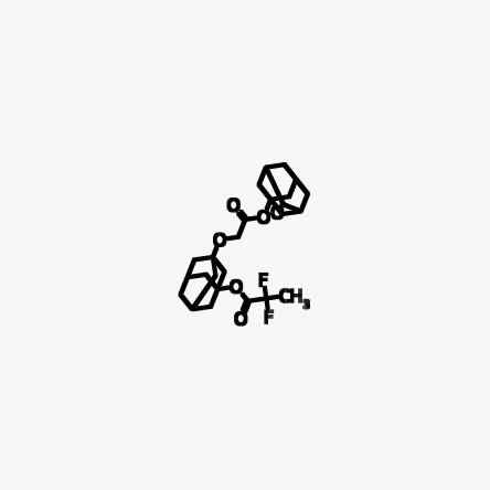 CC(F)(F)C(=O)OC12CC3CC(CC(OCC(=O)OC45CC6CC(C4)C(=O)C(C6)C5)(C3)C1)C2